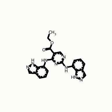 CCOC(=O)c1cnc(Nc2cccc3cn[nH]c23)nc1Nc1cccc2cn[nH]c12